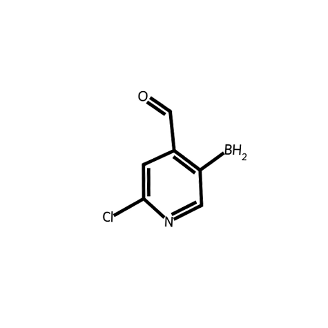 Bc1cnc(Cl)cc1C=O